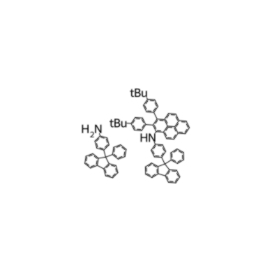 CC(C)(C)c1ccc(-c2c(Nc3ccc(C4(c5ccccc5)c5ccccc5-c5ccccc54)cc3)c3ccc4cccc5ccc(c2-c2ccc(C(C)(C)C)cc2)c3c45)cc1.Nc1ccc(C2(c3ccccc3)c3ccccc3-c3ccccc32)cc1